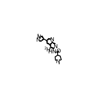 [2H]c1c(NC(=O)C2CCN(C)CC2)ncc2ncc(-c3cnn(C)c3)cc12